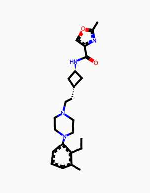 CCc1c(C)cccc1N1CCN(CC[C@H]2C[C@H](NC(=O)c3coc(C)n3)C2)CC1